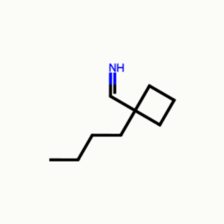 CCCCC1(C=N)CCC1